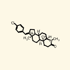 CN1C(=O)CC[C@]2(C)[C@H]3CC[C@]4(C)/C(=C/c5ccc(Cl)cc5)CC[C@H]4[C@@H]3CC[C@@H]12